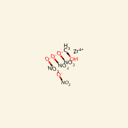 CO.O=[N+]([O-])[O-].O=[N+]([O-])[O-].O=[N+]([O-])[O-].O=[N+]([O-])[O-].[Zr+4]